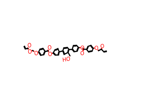 C=CC(=O)COc1ccc(C(=O)Oc2ccc(-c3ccc(-c4ccc(OC(=O)c5ccc(OCOC(=O)C=C)cc5)cc4)cc3CO)cc2)cc1